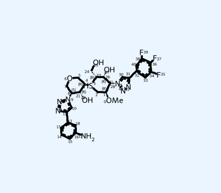 CO[C@H]1C[SH]([C@@H]2COC[C@H](n3cc(-c4cccc(N)c4)nn3)[C@H]2O)[C@H](CO)[C@H](O)[C@@H]1n1cc(-c2cc(F)c(F)c(F)c2)nn1